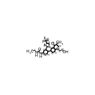 CCNC(=O)Nc1cc(-c2nc(C(F)(F)F)cs2)c(-c2ccc3c(c2)c(=O)c(C)cn3CCO)cn1